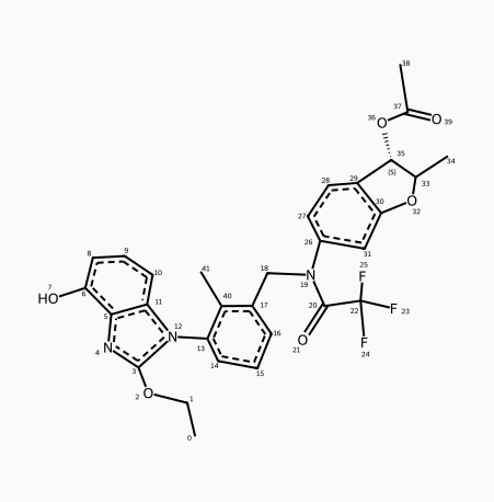 CCOc1nc2c(O)cccc2n1-c1cccc(CN(C(=O)C(F)(F)F)c2ccc3c(c2)OC(C)[C@H]3OC(C)=O)c1C